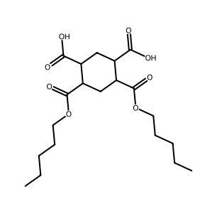 CCCCCOC(=O)C1CC(C(=O)OCCCCC)C(C(=O)O)CC1C(=O)O